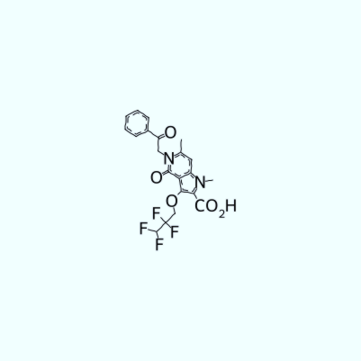 Cc1cc2c(c(OCC(F)(F)C(F)F)c(C(=O)O)n2C)c(=O)n1CC(=O)c1ccccc1